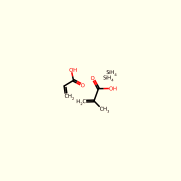 C=C(C)C(=O)O.C=CC(=O)O.[SiH4].[SiH4]